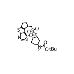 CCS(=O)(=O)CC1CCc2sc3ncnc(O[C@H]4CC[C@H](N(C)C(=O)OC(C)(C)C)CC4)c3c21